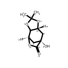 CC1(C)OC2[C@H]3C[C@@](O)(C[C@H]2O1)C(=O)O3